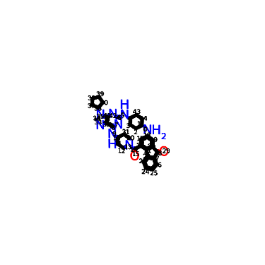 N[C@H]1CC[C@H](Nc2nc(NC3CCN(C(=O)c4cccc5c4-c4ccccc4C5=O)CC3)c3ncn(C4CCCC4)c3n2)CC1